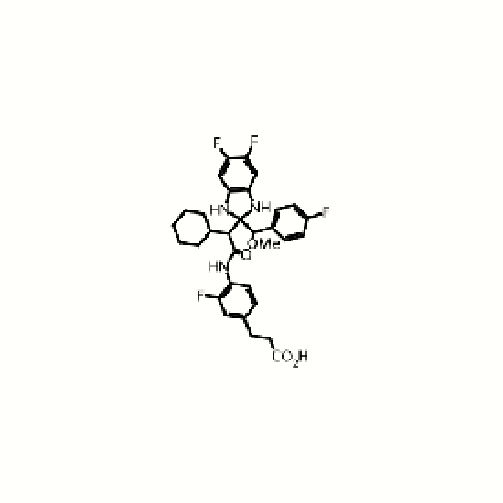 COC(c1ccc(F)cc1)C1(C(C(=O)Nc2ccc(CCC(=O)O)cc2F)C2CCCCC2)Nc2cc(F)c(F)cc2N1